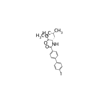 COC(=O)[C@H](CC(C)C)NC(=O)c1ccc(-c2ccc(I)cc2)cc1